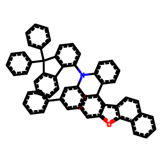 c1ccc(-c2cccc(N(c3ccccc3-c3cccc4oc5c6ccccc6ccc5c34)c3cccc4c3-c3ccccc3C4(c3ccccc3)c3ccccc3)c2)cc1